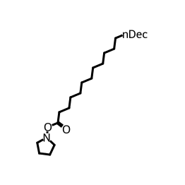 CCCCCCCCCCCCCCCCCCCCCC(=O)ON1CCCC1